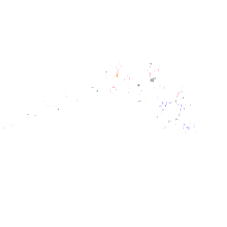 CCCCCCCCCCCCCCCCCCOP(=O)(O)OC[C@H]1SC(n2ccc(N)nc2=O)[C@@H](F)[C@@H]1O